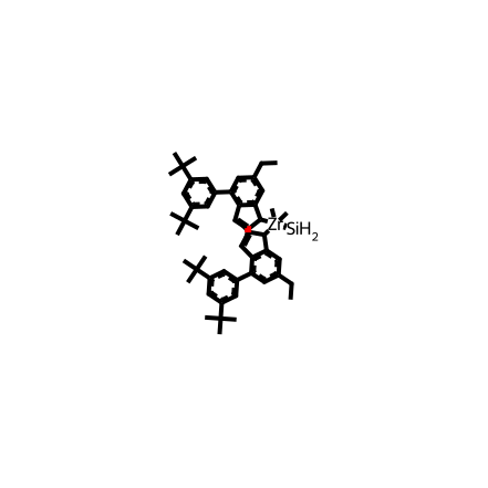 CCc1cc(-c2cc(C(C)(C)C)cc(C(C)(C)C)c2)c2c(c1)[CH]([Zr]([CH3])([CH3])(=[SiH2])[CH]1C(C)=Cc3c(-c4cc(C(C)(C)C)cc(C(C)(C)C)c4)cc(CC)cc31)C(C)=C2